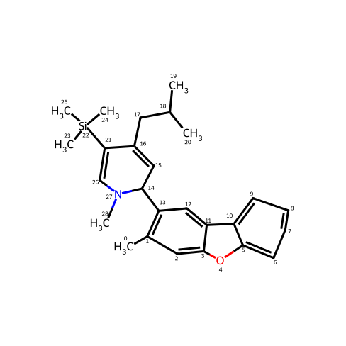 Cc1cc2oc3ccccc3c2cc1C1C=C(CC(C)C)C([Si](C)(C)C)=CN1C